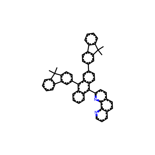 CC1(C)c2ccccc2-c2cc(-c3c4ccccc4c(-c4ccc5ccc6cccnc6c5n4)c4ccc(-c5ccc6c(c5)C(C)(C)c5ccccc5-6)cc34)ccc21